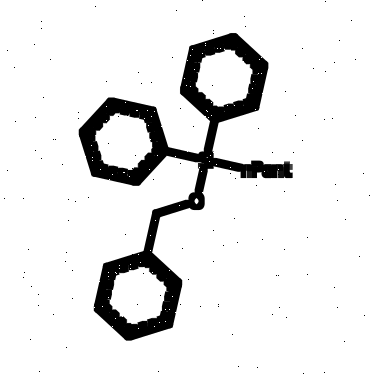 CCCCC[Si](OCc1ccccc1)(c1ccccc1)c1ccccc1